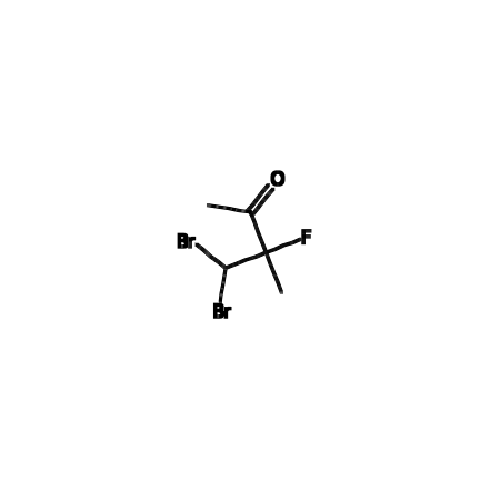 CC(=O)C(C)(F)C(Br)Br